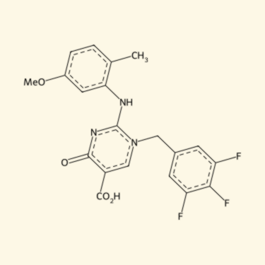 COc1ccc(C)c(Nc2nc(=O)c(C(=O)O)cn2Cc2cc(F)c(F)c(F)c2)c1